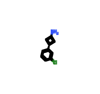 N[C@H]1C[C@H](c2cccc(Cl)c2)C1